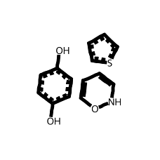 C1=CNOC=C1.Oc1ccc(O)cc1.c1ccsc1